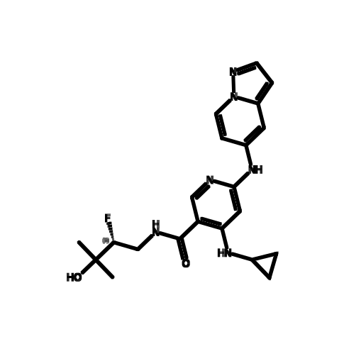 CC(C)(O)[C@H](F)CNC(=O)c1cnc(Nc2ccn3nccc3c2)cc1NC1CC1